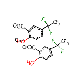 O=C([O-])c1cc(C(F)(F)C(F)(F)F)ccc1O.O=C([O-])c1cc(C(F)(F)C(F)(F)F)ccc1O.[Ca+2]